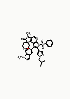 CN1C(=O)C2(CCNCC2)c2c1cnc1c2c(-c2ccc3c(cnn3C)c2)c(-c2cnn(CC(F)F)c2)n1S(=O)(=O)c1ccccc1